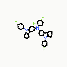 Fc1ccc(-n2c3ccccc3c3cc(N(c4ccc5c(c4)c4ccccc4n5-c4ccc(F)cc4)c4ccc(F)cc4F)ccc32)cc1